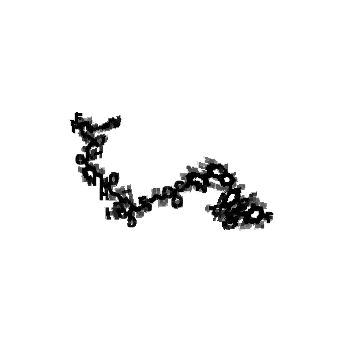 COc1nc(-c2ccc3nccc(-c4ccc(COC(=O)OCCSSCC(NC(=O)CCC(=O)NCc5cc(C(=O)NCC(=O)N6CC(F)(F)C[C@H]6C#N)ccn5)C(=O)O)nc4)c3c2)ccc1NS(=O)(=O)c1ccc(F)cc1F